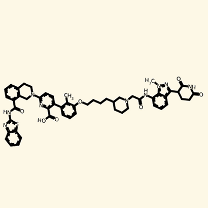 Cc1c(OCCCCC2CCCN(CC(=O)Nc3cccc4c(C5CCC(=O)NC5=O)nn(C)c34)C2)cccc1-c1ccc(N2CCc3cccc(C(=O)Nc4nc5ccccc5s4)c3C2)nc1C(=O)O